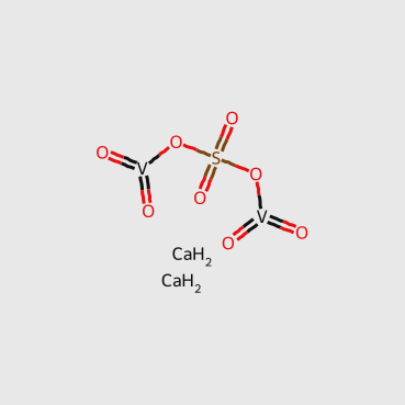 [CaH2].[CaH2].[O]=[V](=[O])[O]S(=O)(=O)[O][V](=[O])=[O]